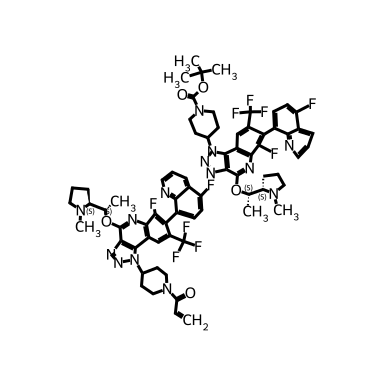 C=CC(=O)N1CCC(n2nnc3c(O[C@@H](C)[C@@H]4CCCN4C)nc4c(F)c(-c5ccc(F)c6cccnc56)c(C(F)(F)F)cc4c32)CC1.C[C@H](Oc1nc2c(F)c(-c3ccc(F)c4cccnc34)c(C(F)(F)F)cc2c2c1nnn2C1CCN(C(=O)OC(C)(C)C)CC1)[C@@H]1CCCN1C